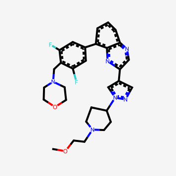 COCCN1CCC(n2cc(-c3cnc4cccc(-c5cc(F)c(CN6CCOCC6)c(F)c5)c4n3)cn2)CC1